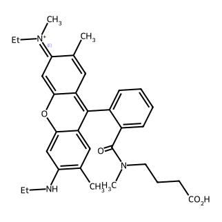 CCNc1cc2oc3c/c(=[N+](/C)CC)c(C)cc-3c(-c3ccccc3C(=O)N(C)CCCC(=O)O)c2cc1C